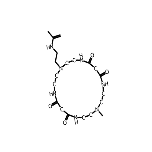 C=C(C)NCCN1CCNC(=O)CC(=O)NCCN(C)CCNC(=O)CC(=O)NCC1